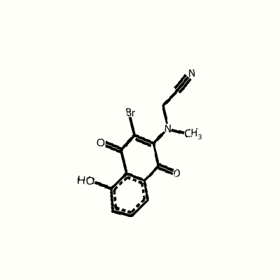 CN(CC#N)C1=C(Br)C(=O)c2c(O)cccc2C1=O